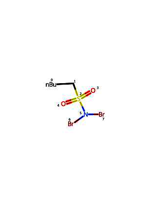 CCCCCS(=O)(=O)N(Br)Br